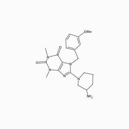 COc1cccc(Cn2c(N3CCCC(N)C3)nc3c2c(=O)n(C)c(=O)n3C)c1